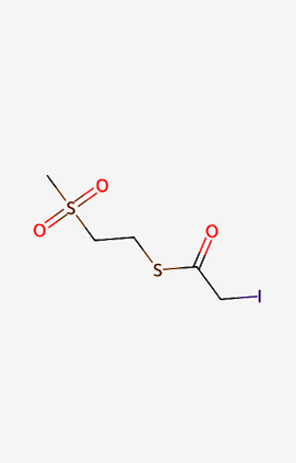 CS(=O)(=O)CCSC(=O)CI